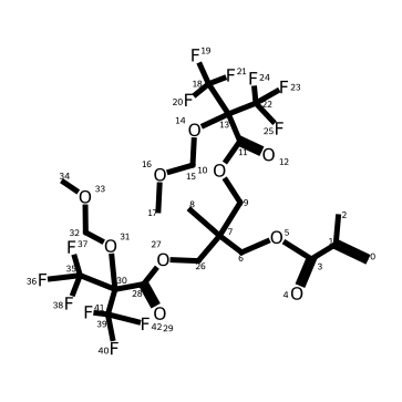 C=C(C)C(=O)OCC(C)(COC(=O)C(OCOC)(C(F)(F)F)C(F)(F)F)COC(=O)C(OCOC)(C(F)(F)F)C(F)(F)F